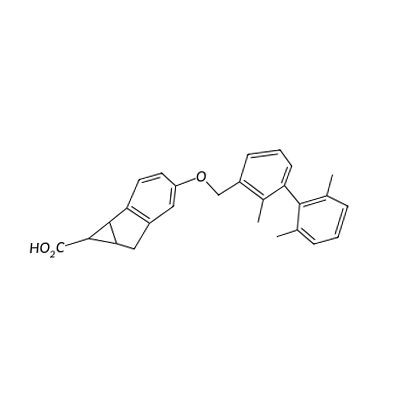 Cc1cccc(C)c1-c1cccc(COc2ccc3c(c2)CC2C(C(=O)O)C32)c1C